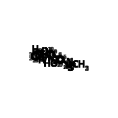 Cc1nc(-c2ccc(-c3ccc(O[C@H]4C[C@@H]5CCC[C@@H](N5)[C@H]4F)nn3)c(O)c2)cs1